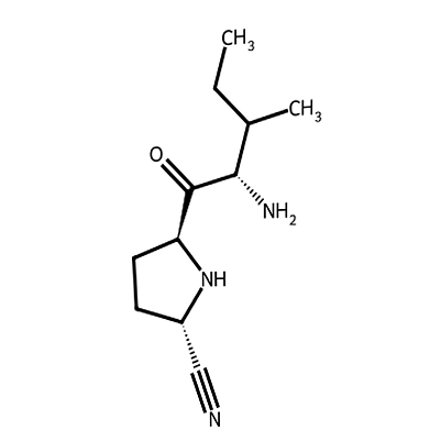 CCC(C)[C@H](N)C(=O)[C@@H]1CC[C@@H](C#N)N1